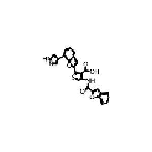 O=C(Nc1csc(-c2cc3cccc(-c4cn[nH]c4)c3o2)c1C(=O)O)c1cc2c(o1)=CCCC=2